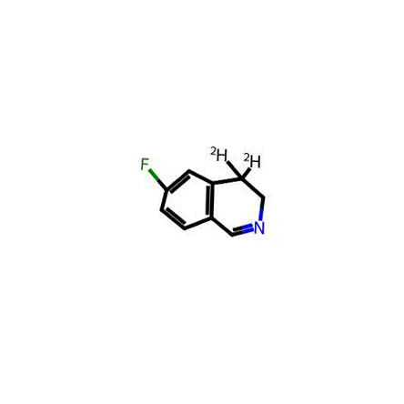 [2H]C1([2H])CN=Cc2ccc(F)cc21